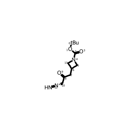 CC(C)(C)OC(=O)N1CC(CC(=O)C=[N+]=N)C1